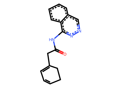 O=C(CC1=CC=CCC1)Nc1nncc2ccccc12